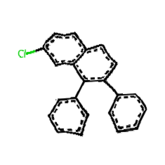 Clc1ccc2ccc(-c3ccccc3)c(-c3[c]cccc3)c2c1